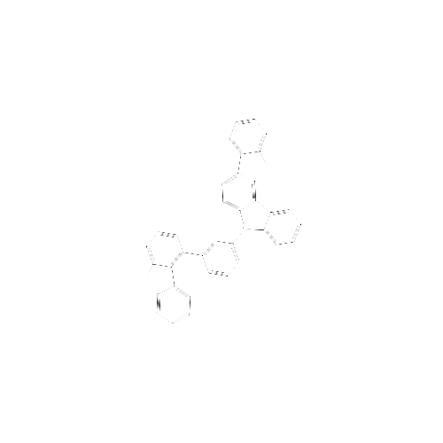 c1cc(-c2cccc3oc4ccccc4c23)cc(-n2c3ccccc3c3c4oc5ccccc5c4ccc32)c1